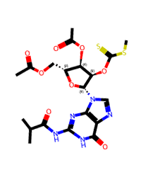 CSC(=S)O[C@@H]1[C@H](OC(C)=O)[C@@H](COC(C)=O)O[C@H]1n1cnc2c(=O)[nH]c(NC(=O)C(C)C)nc21